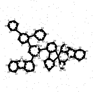 c1ccc(-c2ccc(-c3cc(-c4cccc5c4oc4ccccc45)nc(-c4cccc5c4-c4ccccc4C54c5ccccc5-n5c6ccccc6c6cccc4c65)n3)c(-c3ccccc3)c2)cc1